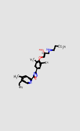 CCc1cc(-c2noc(-c3cc(C)c(CC(C)C)cn3)n2)cc(C)c1OC[C@@H](O)CNCCC(=O)O